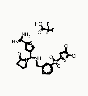 N=C(N)c1cc(C(NCc2cccc(S(=O)(=O)c3cc(Cl)c(Cl)s3)c2)N2CCCC2=O)cs1.O=C(O)C(F)(F)F